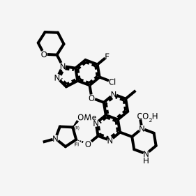 CO[C@@H]1CN(C)C[C@H]1Oc1nc(C2CNCCN2C(=O)O)c2cc(C)nc(Oc3c(Cl)c(F)cc4c3cnn4C3CCCCO3)c2n1